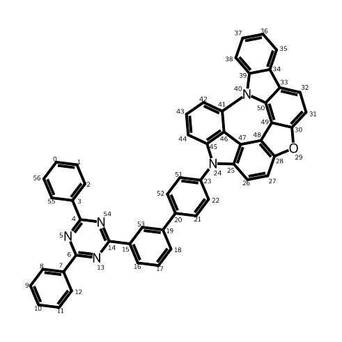 c1ccc(-c2nc(-c3ccccc3)nc(-c3cccc(-c4ccc(-n5c6ccc7oc8ccc9c%10ccccc%10n%10c%11cccc5c%11c6c7c8c9%10)cc4)c3)n2)cc1